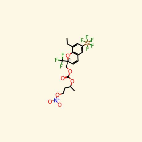 CCc1cc(S(F)(F)(F)(F)F)cc2c1O[C@@](COC(=O)OC(C)CCO[N+](=O)[O-])(C(F)(F)F)C=C2